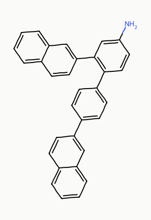 Nc1ccc(-c2ccc(-c3ccc4ccccc4c3)cc2)c(-c2ccc3ccccc3c2)c1